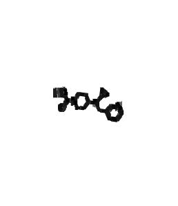 O=C(O)N1CCC(N(Cc2cccnc2)C2CC2)CC1